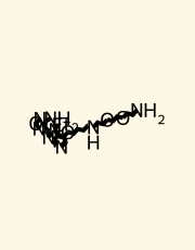 CCn1c(-c2nonc2N)nc2cncc(OCCCCNCCOCCOCCN)c21